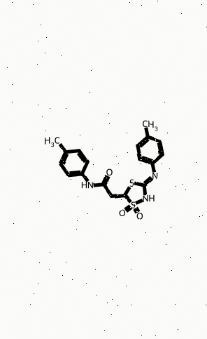 Cc1ccc(/N=C2/NS(=O)(=O)C(CC(=O)Nc3ccc(C)cc3)S2)cc1